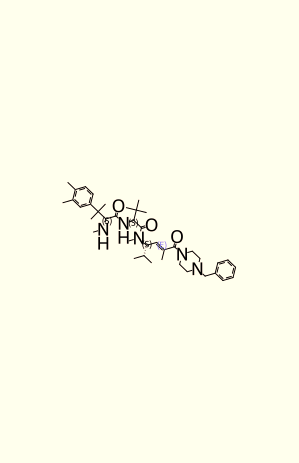 CN[C@H](C(=O)N[C@H](C(=O)N(C)[C@H](/C=C(\C)C(=O)N1CCN(Cc2ccccc2)CC1)C(C)C)C(C)(C)C)C(C)(C)c1ccc(C)c(C)c1